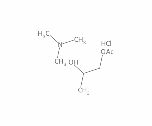 CC(=O)OCC(C)O.CN(C)C.Cl